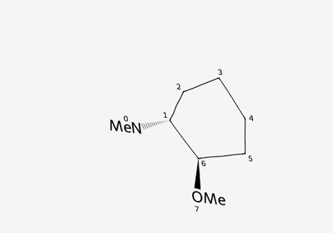 CN[C@@H]1CCCC[C@H]1OC